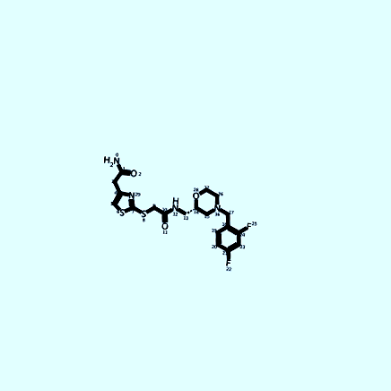 NC(=O)Cc1csc(SCC(=O)NC[C@H]2CN(Cc3ccc(F)cc3F)CCO2)n1